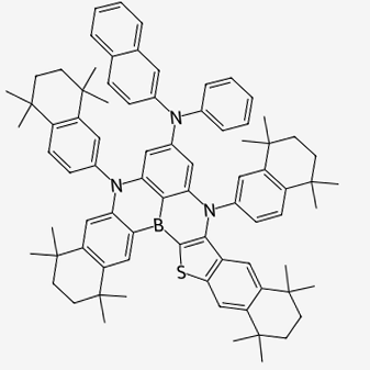 CC1(C)CCC(C)(C)c2cc(N3c4cc5c(cc4B4c6sc7cc8c(cc7c6N(c6ccc7c(c6)C(C)(C)CCC7(C)C)c6cc(N(c7ccccc7)c7ccc9ccccc9c7)cc3c64)C(C)(C)CCC8(C)C)C(C)(C)CCC5(C)C)ccc21